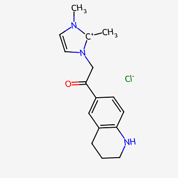 C[c+]1n(C)ccn1CC(=O)c1ccc2c(c1)CCCN2.[Cl-]